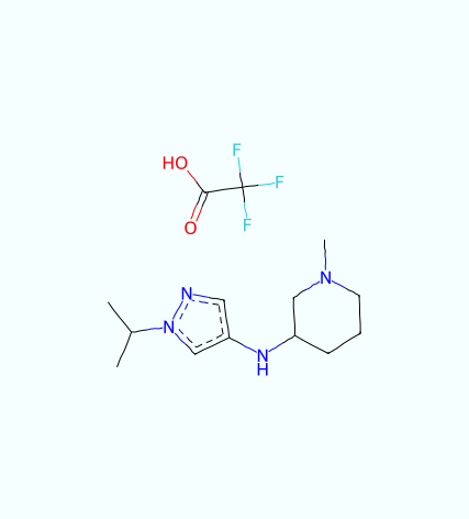 CC(C)n1cc(NC2CCCN(C)C2)cn1.O=C(O)C(F)(F)F